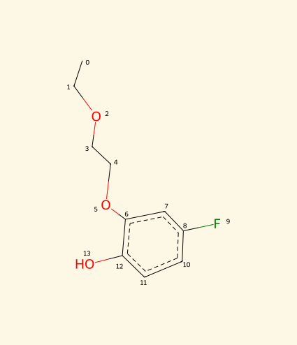 CCOCCOc1cc(F)ccc1O